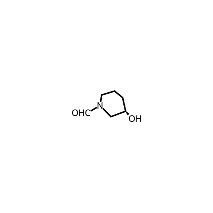 O=CN1CCC[C@@H](O)C1